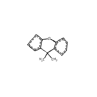 CC1(C)c2ccccc2Oc2ccccc21